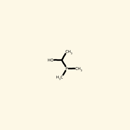 CC(O)P(C)C